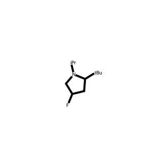 CC(C)N1CC(F)CC1C(C)(C)C